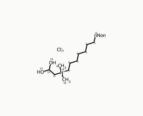 CCCCCCCCCCCCCCCC[N+](C)(C)CC(O)O.[Cl-]